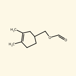 CC1=C(C)CC(COC=O)CC1